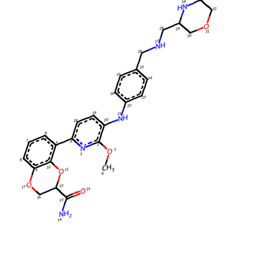 COc1nc(-c2cccc3c2OC(C(N)=O)CO3)ccc1Nc1ccc(CNCC2COCCN2)cc1